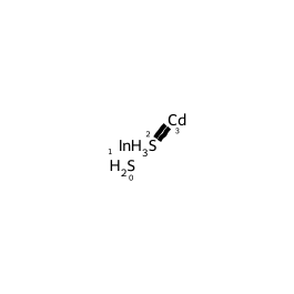 S.[InH3].[S]=[Cd]